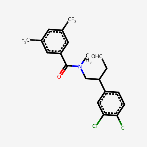 CN(CC(CC=O)c1ccc(Cl)c(Cl)c1)C(=O)c1cc(C(F)(F)F)cc(C(F)(F)F)c1